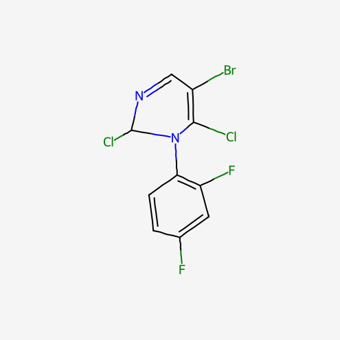 Fc1ccc(N2C(Cl)=C(Br)C=NC2Cl)c(F)c1